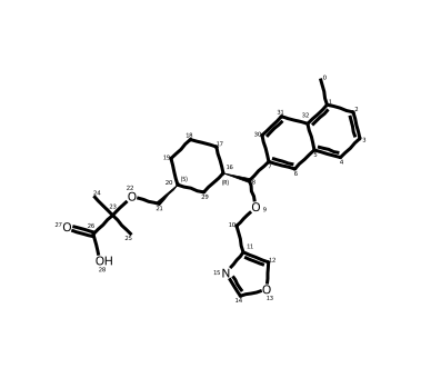 Cc1cccc2cc(C(OCc3cocn3)[C@@H]3CCC[C@H](COC(C)(C)C(=O)O)C3)ccc12